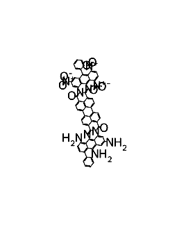 Nc1cc2c(N)c3c(-c4ccccc4)ccc(N)c3c3nc4c5ccc6c7ccc8c(=O)n9c%10cc([N+](=O)[O-])cc%11c(-c%12ccccc%12)c%12c([N+](=O)[O-])ccc([N+](=O)[O-])c%12c(nc9c9ccc(c%12ccc(c(=O)n4c(c1)c23)c5c6%12)c7c89)c%11%10